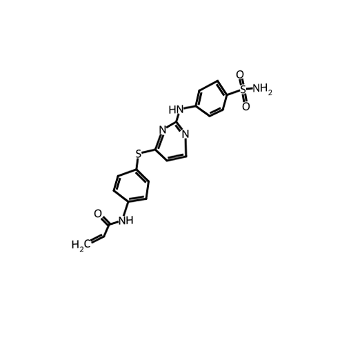 C=CC(=O)Nc1ccc(Sc2ccnc(Nc3ccc(S(N)(=O)=O)cc3)n2)cc1